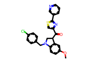 COc1ccc2c(c1)C(C(=O)c1csc(-c3cccnc3)n1)CN2Cc1ccc(Cl)cc1